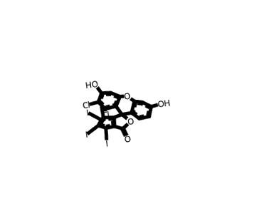 O=C1OC2(c3ccc(O)cc3Oc3cc(O)c(Cl)c(Cl)c32)c2c(I)c(I)c(I)c(I)c21